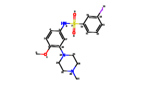 COc1ccc(NS(=O)(=O)c2cccc(I)c2)cc1N1CCN(C)CC1